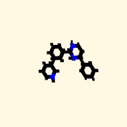 c1ccc(-c2ccnc(-c3cccc(-c4cccnc4)c3)n2)cc1